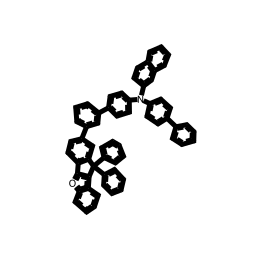 c1ccc(-c2ccc(N(c3ccc(-c4cccc(-c5ccc6c(c5)C(c5ccccc5)(c5ccccc5)c5c-6oc6ccccc56)c4)cc3)c3ccc4ccccc4c3)cc2)cc1